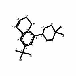 CC1(C)CCC(c2cc(C(C)(C)C)cc3c2CCC=C3)CC1